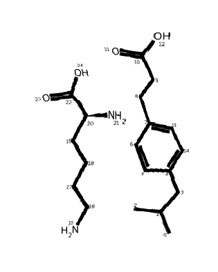 CC(C)Cc1ccc(CCC(=O)O)cc1.NCCCC[C@H](N)C(=O)O